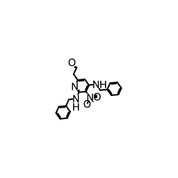 O=CCc1cc(NCc2ccccc2)c([N+](=O)[O-])c(NCc2ccccc2)n1